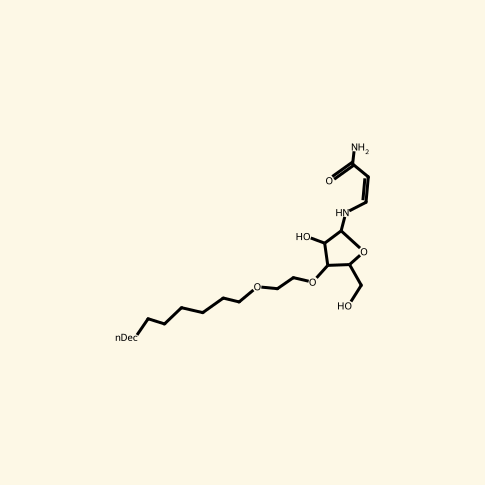 CCCCCCCCCCCCCCCCOCCOC1C(CO)OC(N/C=C\C(N)=O)C1O